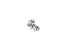 [Co].[Mn].[Ni].[Zr]